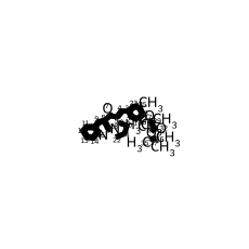 Cc1cc(/C=C/C(=O)c2cc3ccccc3nc2N2CCCC2)cc(C)c1OC(C)(C)C(=O)OC(C)(C)C